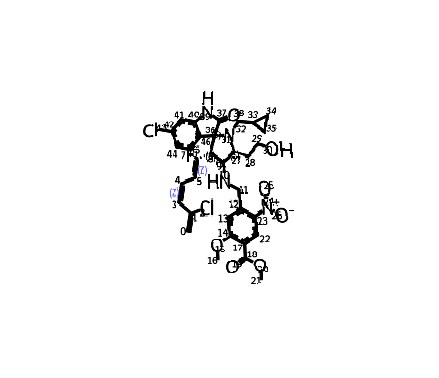 C=C(Cl)/C=C\C=C(/F)[C@H]1[C@H](NCc2cc(OC)c(C(=O)OC)cc2[N+](=O)[O-])[C@H](CCO)N(CC2CC2)[C@@]12C(=O)Nc1cc(Cl)ccc12